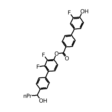 CCCC(O)c1ccc(-c2ccc(OC(=O)c3ccc(-c4ccc(O)c(F)c4)cc3)c(F)c2F)cc1